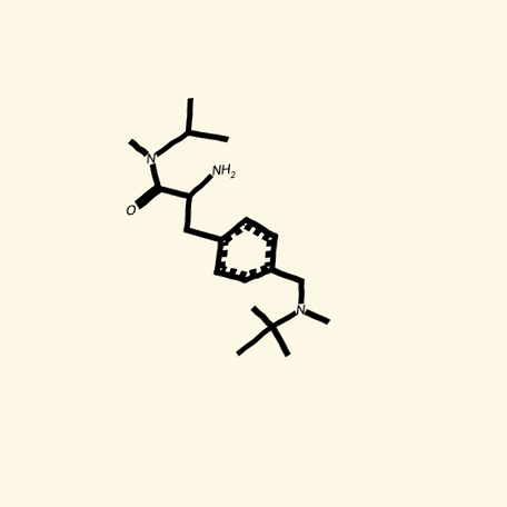 CC(C)N(C)C(=O)C(N)Cc1ccc(CN(C)C(C)(C)C)cc1